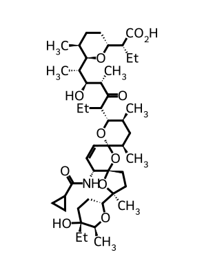 CCC(C(=O)[C@@H](C)[C@@H](O)[C@H](C)[C@@H]1O[C@@H]([C@@H](CC)C(=O)O)CC[C@@H]1C)[C@H]1O[C@]2(C=C[C@@H](NC(=O)C3CC3)[C@]3(CC[C@@](C)([C@H]4CC[C@](O)(CC)[C@H](C)O4)O3)O2)[C@H](C)C[C@@H]1C